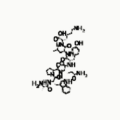 CC(C)C[C@H](NC(=O)[C@H](Cc1ccc(O)cc1)NC(=O)[C@H](CCC(N)=O)NC(=O)[C@@H]1CCCN1C(=O)[C@H](Cc1c[nH]c2ccccc12)NC(=O)[C@H](C)N)C(=O)N[C@@H](CCCCN)C(=O)O